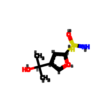 CC(C)(O)c1coc([SH](=N)=O)c1